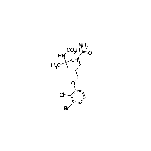 CC(C)(C[C@H](CCC(N)=O)COc1cccc(Br)c1Cl)NC(=O)O